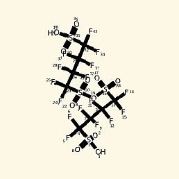 O=S(=O)(O)C(F)(F)C(F)(F)C(F)(F)C(F)(F)S(=O)(=O)OS(=O)(=O)C(F)(F)C(F)(F)C(F)(F)C(F)(F)S(=O)(=O)O